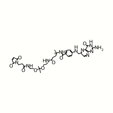 C[C@H](CCC(=O)NCCOC(C)(C)OCCNC(=O)CCN1C(=O)C=CC1=O)NC(=O)c1ccc(NCc2cnc3nc(N)[nH]c(=O)c3n2)cc1